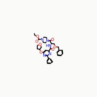 CCOC(=O)N1CCN(C(=O)C(COCc2ccccc2)NC(=O)c2cc(OC3CCOC3)nc(-c3ccccc3)n2)CC1